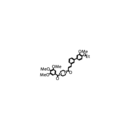 CCOc1ccc(-c2cccc(C=CC(=O)N3CCN(C(=O)c4cc(OC)c(OC)c(OC)c4)CC3)c2)cc1OC